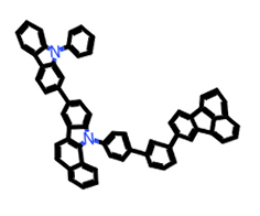 c1ccc(-n2c3ccccc3c3ccc(-c4ccc5c(c4)c4ccc6ccccc6c4n5-c4ccc(-c5cccc(-c6ccc7c(c6)-c6cccc8cccc-7c68)c5)cc4)cc32)cc1